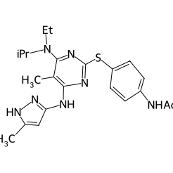 CCN(c1nc(Sc2ccc(NC(C)=O)cc2)nc(Nc2cc(C)[nH]n2)c1C)C(C)C